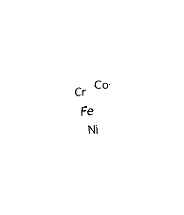 [Co].[Cr].[Fe].[Ni]